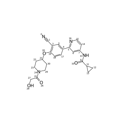 N#Cc1cc(-c2cc(NC(=O)C3CC3)ccn2)ccc1OC1CCN(C(=O)CO)CC1